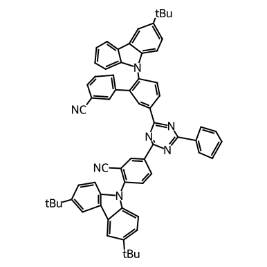 CC(C)(C)c1ccc2c(c1)c1cc(C(C)(C)C)ccc1n2-c1ccc(-c2nc(-c3ccccc3)nc(-c3ccc(-n4c5ccccc5c5cc(C(C)(C)C)ccc54)c(-c4cccc(C#N)c4)c3)n2)cc1C#N